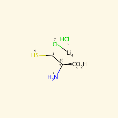 Cl.N[C@@H](CS)C(=O)O.[Li][Cl]